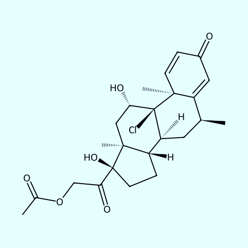 CC(=O)OCC(=O)[C@@]1(O)CC[C@H]2[C@@H]3C[C@H](C)C4=CC(=O)C=C[C@]4(C)[C@@]3(Cl)[C@@H](O)C[C@@]21C